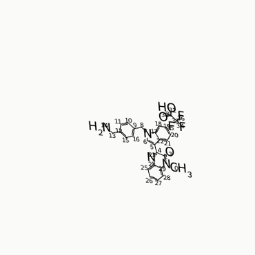 Cn1c(=O)c(-c2cn(Cc3ccc(CN)cc3)c3ccccc23)nc2ccccc21.O=C(O)C(F)(F)F